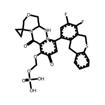 O=C1c2c(OCOP(=O)(O)O)c(=O)cc(-c3cc(F)c(F)c4c3Cc3ccccc3SC4)n2NC2COCC3(CC3)N12